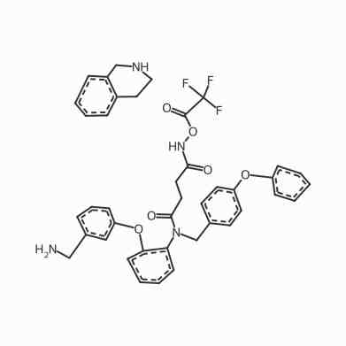 NCc1cccc(Oc2ccccc2N(Cc2ccc(Oc3ccccc3)cc2)C(=O)CCC(=O)NOC(=O)C(F)(F)F)c1.c1ccc2c(c1)CCNC2